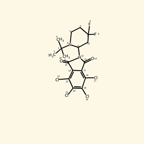 CC(C)(C)N1CCC(F)(F)CC1N1C(=O)c2c(Cl)c(Cl)c(Cl)c(Cl)c2C1=O